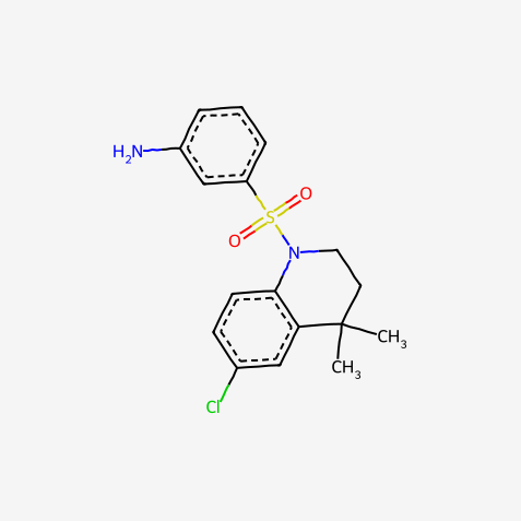 CC1(C)CCN(S(=O)(=O)c2cccc(N)c2)c2ccc(Cl)cc21